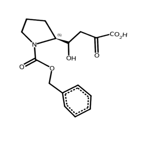 O=C(O)C(=O)CC(O)[C@@H]1CCCN1C(=O)OCc1ccccc1